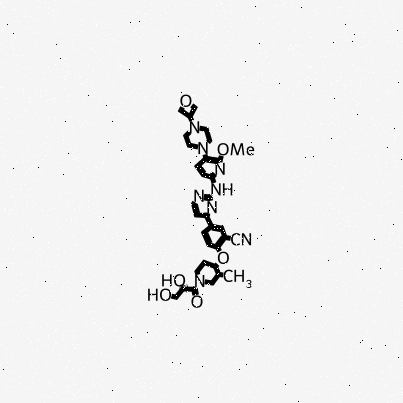 COc1nc(Nc2nccc(-c3ccc(OC4CCN(C(=O)[C@@H](O)CO)CC4C)c(C#N)c3)n2)ccc1N1CCN(C2COC2)CC1